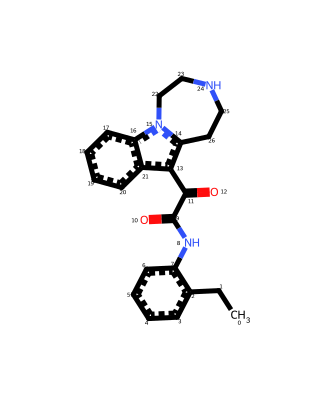 CCc1ccccc1NC(=O)C(=O)c1c2n(c3ccccc13)CCNCC2